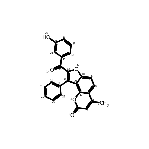 Cc1cc(=O)oc2c1ccc1oc(C(=O)c3cccc(O)c3)c(-c3ccccc3)c12